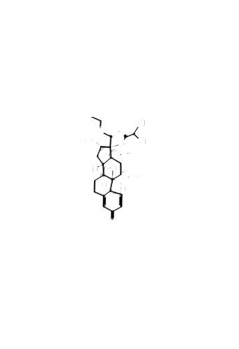 C[C@@H]1C[C@H]2[C@@H]3CCC4=CC(=O)C=C[C@]4(C)[C@@]3(Cl)[C@@H](O)C[C@]2(C)[C@@]1(OC(=O)C(Cl)Cl)C(=O)OCCl